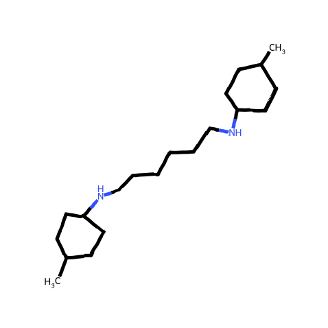 CC1CCC(NCCCCCCNC2CCC(C)CC2)CC1